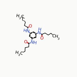 CCCCC(=O)Nc1cc(NC(=O)CCCC)cc(NC(=O)CCCC)c1